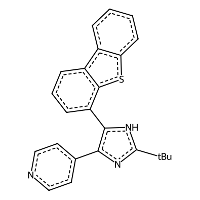 CC(C)(C)c1nc(-c2ccncc2)c(-c2cccc3c2sc2ccccc23)[nH]1